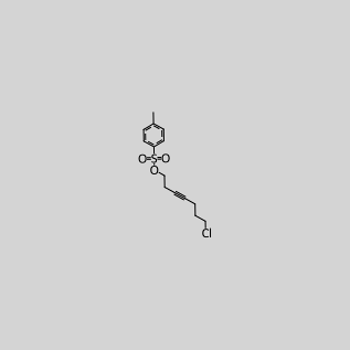 Cc1ccc(S(=O)(=O)OCCC#CCCCCl)cc1